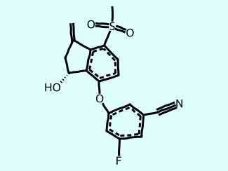 C=C1C[C@@H](O)c2c(Oc3cc(F)cc(C#N)c3)ccc(S(C)(=O)=O)c21